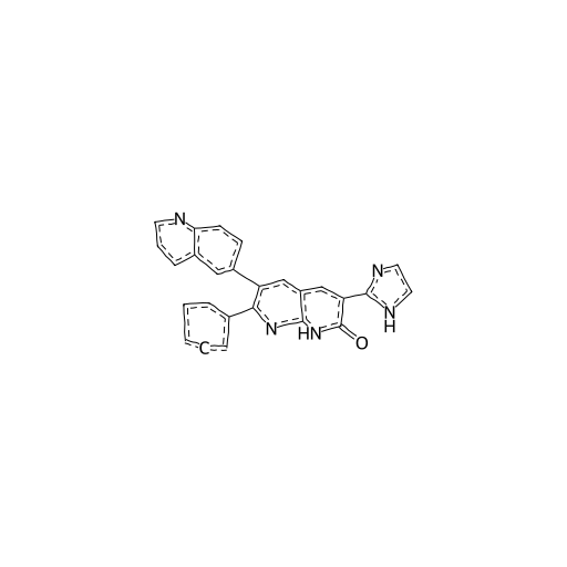 O=c1[nH]c2nc(-c3ccccc3)c(-c3ccc4ncccc4c3)cc2cc1-c1ncc[nH]1